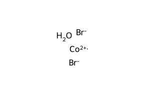 O.[Br-].[Br-].[Co+2]